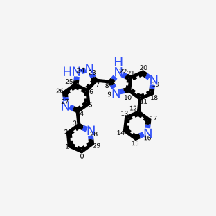 c1ccc(-c2cc3c(-c4nc5c(-c6cccnc6)cncc5[nH]4)n[nH]c3cn2)nc1